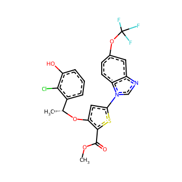 COC(=O)c1sc(-n2cnc3cc(OC(F)(F)F)ccc32)cc1O[C@H](C)c1cccc(O)c1Cl